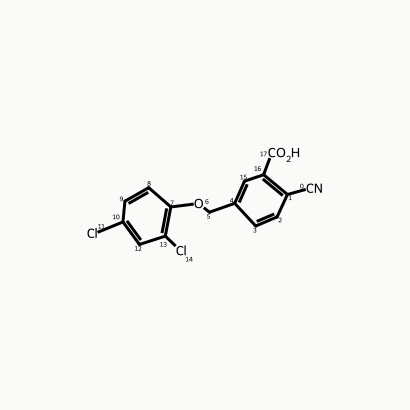 N#Cc1ccc(COc2ccc(Cl)cc2Cl)cc1C(=O)O